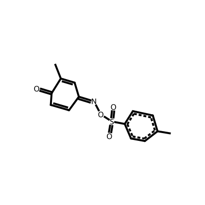 CC1=CC(=NOS(=O)(=O)c2ccc(C)cc2)C=CC1=O